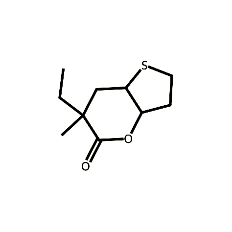 CCC1(C)CC2SCCC2OC1=O